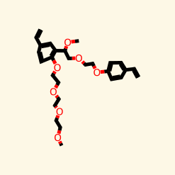 C=Cc1ccc(OCCOCC(OC)c2cc(C=C)ccc2OCCOCCOCCOC)cc1